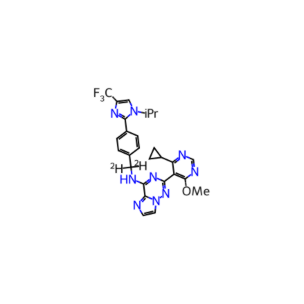 [2H]C([2H])(Nc1nc(-c2c(OC)ncnc2C2CC2)nn2ccnc12)c1ccc(-c2nc(C(F)(F)F)cn2C(C)C)cc1